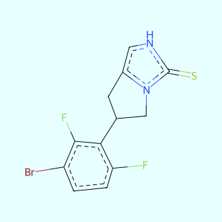 Fc1ccc(Br)c(F)c1C1Cc2c[nH]c(=S)n2C1